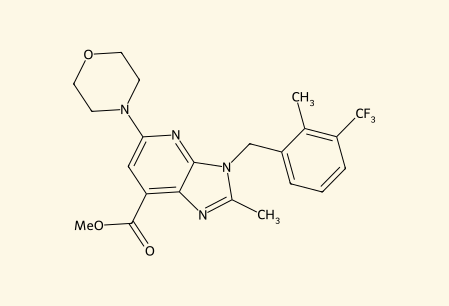 COC(=O)c1cc(N2CCOCC2)nc2c1nc(C)n2Cc1cccc(C(F)(F)F)c1C